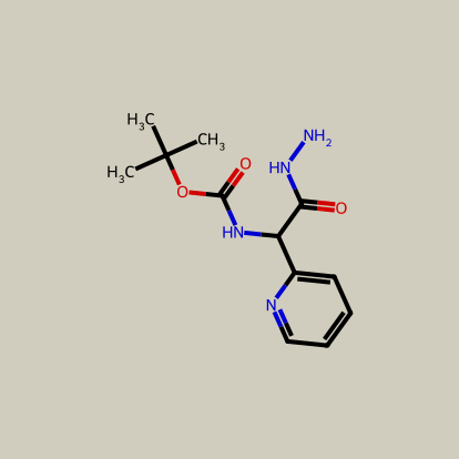 CC(C)(C)OC(=O)NC(C(=O)NN)c1ccccn1